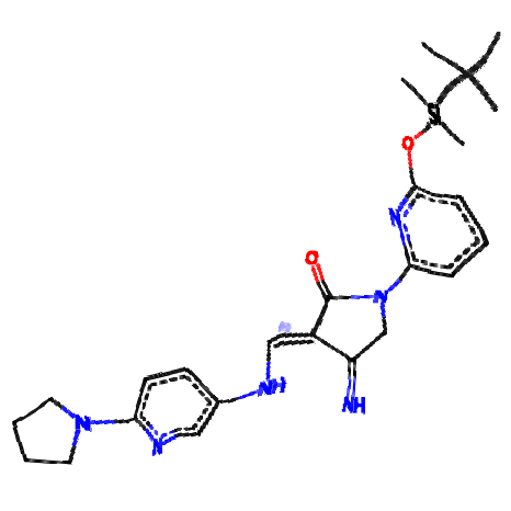 CC(C)(C)[Si](C)(C)Oc1cccc(N2CC(=N)/C(=C\Nc3ccc(N4CCCC4)nc3)C2=O)n1